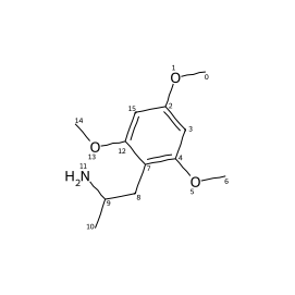 COc1cc(OC)c(CC(C)N)c(OC)c1